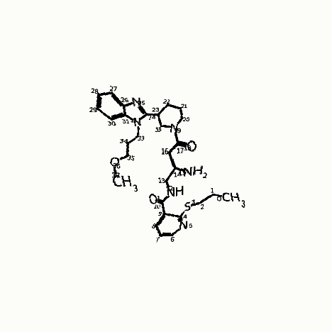 CCCSc1ncccc1C(=O)NCC(N)CC(=O)N1CCCC(c2nc3ccccc3n2CCCOC)C1